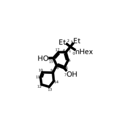 CCCCCCC(CC)(CC)c1cc(O)c(C2C=CCCC2)c(O)c1